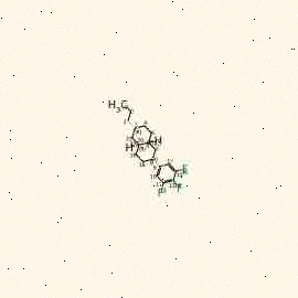 CCC[C@@H]1CC[C@@H]2C[C@H](c3cc(F)c(F)c(F)c3)CC[C@@H]2C1